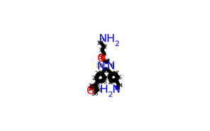 NCCCCOc1cnc(-c2ccc(CN)cc2)c(-c2ccc(-c3ccoc3)cc2)n1